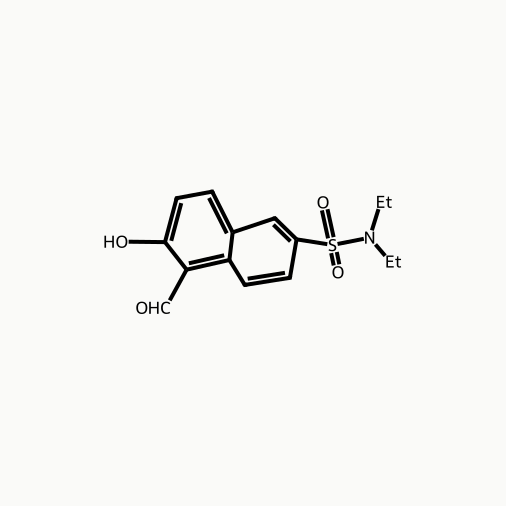 CCN(CC)S(=O)(=O)c1ccc2c(C=O)c(O)ccc2c1